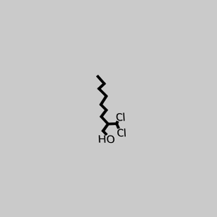 CCCCCCCC(CO)C(Cl)Cl